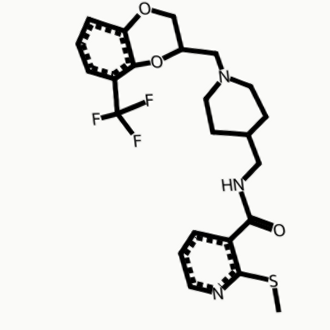 CSc1ncccc1C(=O)NCC1CCN(CC2COc3cccc(C(F)(F)F)c3O2)CC1